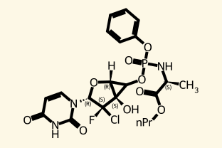 CCCOC(=O)[C@H](C)NP(=O)(Oc1ccccc1)OC1[C@H]2O[C@@H](n3ccc(=O)[nH]c3=O)[C@@](F)(Cl)[C@@]12O